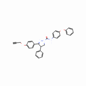 C#CCOc1ccc(C2=NN(C(=O)Nc3ccc(Oc4ccccc4)cc3)CC2c2ccccc2)cc1